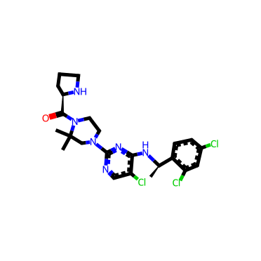 C[C@@H](Nc1nc(N2CCN(C(=O)[C@H]3CCCN3)C(C)(C)C2)ncc1Cl)c1ccc(Cl)cc1Cl